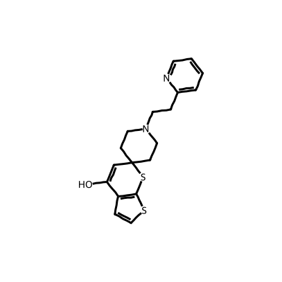 OC1=CC2(CCN(CCc3ccccn3)CC2)Sc2sccc21